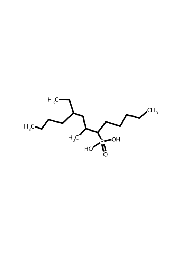 CCCCCC(C(C)CC(CC)CCCC)P(=O)(O)O